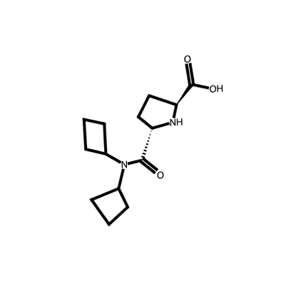 O=C(O)[C@@H]1CC[C@@H](C(=O)N(C2CCC2)C2CCC2)N1